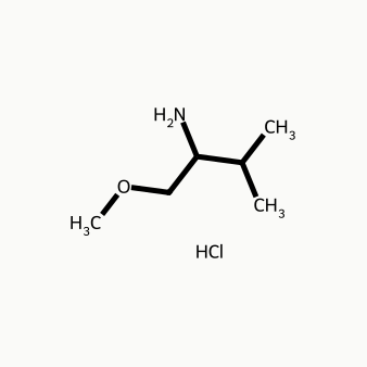 COCC(N)C(C)C.Cl